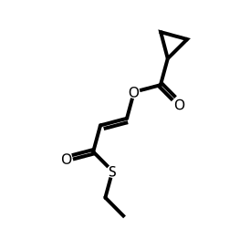 CCSC(=O)C=COC(=O)C1CC1